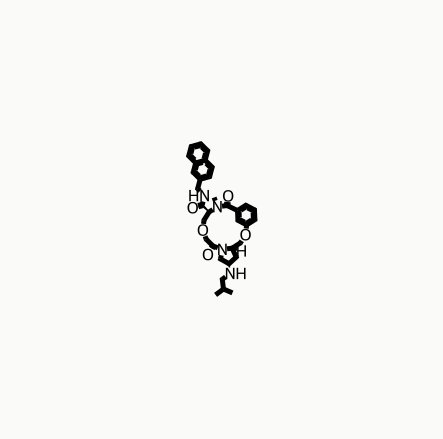 CC(C)CN[C@H]1C[C@H]2COc3cccc(c3)C(=O)N(C)[C@H](C(=O)NCc3ccc4ccccc4c3)COCC(=O)N2C1